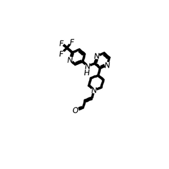 O=CC=CN1CCC(c2nccnc2Nc2ccc(C(F)(F)F)nc2)CC1